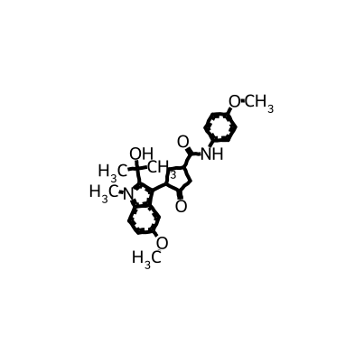 COc1ccc(NC(=O)C2CC(=O)C(c3c(C(C)(C)O)n(C)c4ccc(OC)cc34)C2)cc1